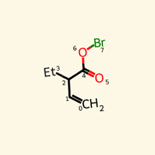 C=CC(CC)C(=O)OBr